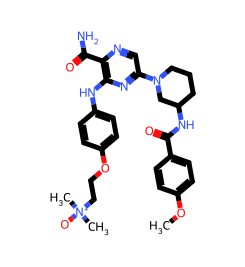 COc1ccc(C(=O)NC2CCCN(c3cnc(C(N)=O)c(Nc4ccc(OCC[N+](C)(C)[O-])cc4)n3)C2)cc1